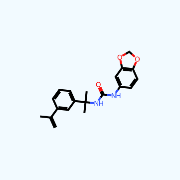 C=C(C)c1cccc(C(C)(C)NC(=O)Nc2ccc3c(c2)OCO3)c1